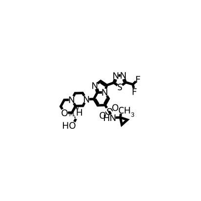 CC1(NS(=O)(=O)c2cc(N3CCN4CCO[C@@H](CO)[C@@H]4C3)c3ncc(-c4nnc(C(F)F)s4)n3c2)CC1